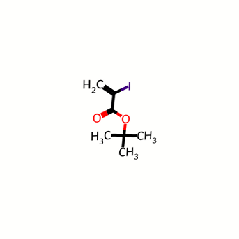 C=C(I)C(=O)OC(C)(C)C